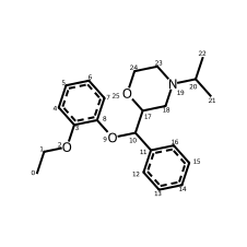 CCOc1ccccc1OC(c1ccccc1)C1CN(C(C)C)CCO1